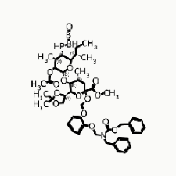 CC[C@H](C)C1O[C@H](O[C@H]2C([C@H]3COC(C)(C)O3)O[C@@](OCOc3ccccc3OCN(Cc3ccccc3)C(=O)OCc3ccccc3)(C(=O)OC)C[C@H]2C)C(OC(C)=O)[C@@H](C)[C@@H]1PBB=O